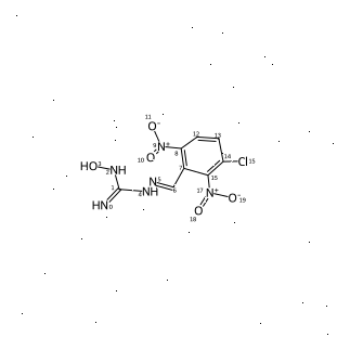 N=C(NO)NN=Cc1c([N+](=O)[O-])ccc(Cl)c1[N+](=O)[O-]